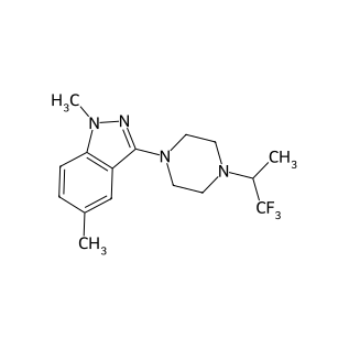 Cc1ccc2c(c1)c(N1CCN(C(C)C(F)(F)F)CC1)nn2C